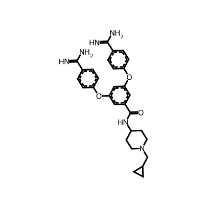 N=C(N)c1ccc(Oc2cc(Oc3ccc(C(=N)N)cc3)cc(C(=O)NC3CCN(CC4CC4)CC3)c2)cc1